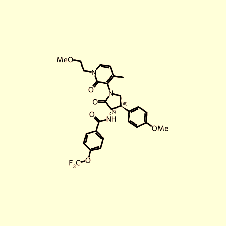 COCCn1ccc(C)c(N2C[C@@H](c3ccc(OC)cc3)[C@H](NC(=O)c3ccc(OC(F)(F)F)cc3)C2=O)c1=O